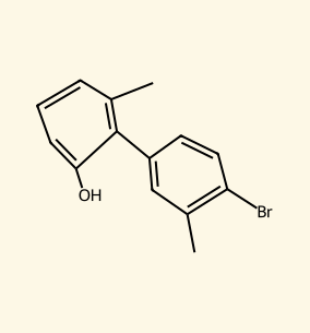 Cc1cc(-c2c(C)cccc2O)ccc1Br